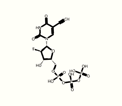 C#Cc1cn([C@@H]2O[C@H](COP(=O)(O)OP(=O)(O)OP(=O)(O)O)[C@H](O)[C@H]2F)c(=O)[nH]c1=O